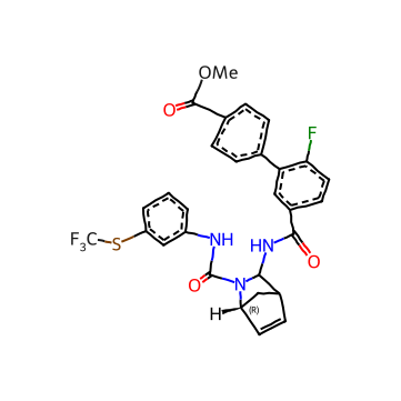 COC(=O)c1ccc(-c2cc(C(=O)NC3C4C=C[C@@H](C4)N3C(=O)Nc3cccc(SC(F)(F)F)c3)ccc2F)cc1